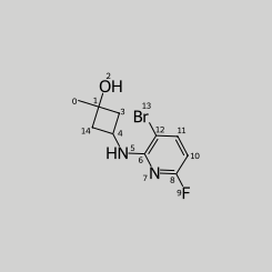 CC1(O)CC(Nc2nc(F)ccc2Br)C1